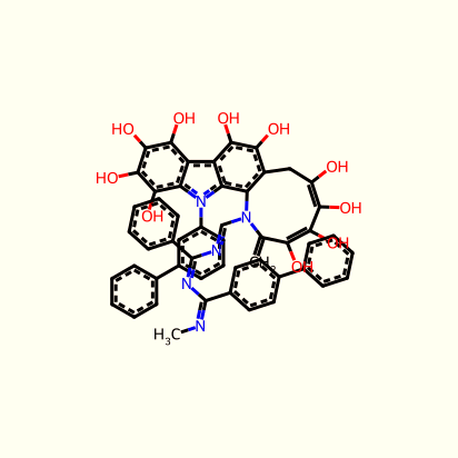 C=C1/C(O)=C(O)\C(O)=C(\O)Cc2c(O)c(O)c3c4c(O)c(O)c(O)c(O)c4n(-c4cccc(-c5ccccc5)c4)c3c2N1/C=N/C(=N\C(=N/C)c1ccc(-c2ccccc2)cc1)c1ccccc1